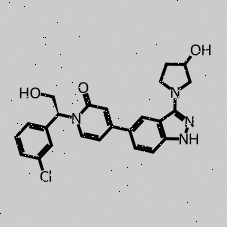 O=c1cc(-c2ccc3[nH]nc(N4CCC(O)C4)c3c2)ccn1[C@H](CO)c1cccc(Cl)c1